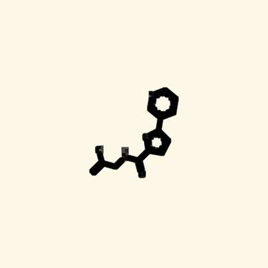 C=C(Cl)CNC(=O)c1ccc(-c2cccnc2)o1